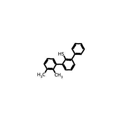 Cc1cccc(-c2cccc(-c3ccccc3)c2S)c1C